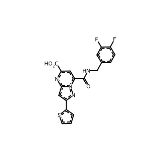 O=C(O)c1cc(C(=O)NCc2ccc(F)c(F)c2)n2nc(-c3cccs3)cc2n1